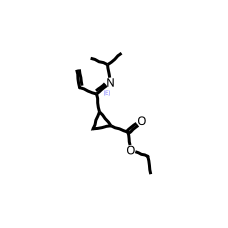 C=C/C(=N\C(C)C)C1CC1C(=O)OCC